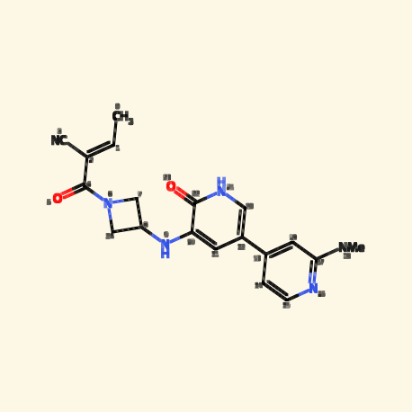 CC=C(C#N)C(=O)N1CC(Nc2cc(-c3ccnc(NC)c3)c[nH]c2=O)C1